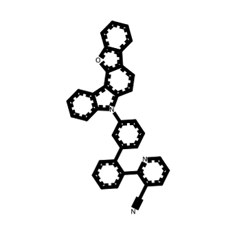 N#Cc1cccnc1-c1ccccc1-c1cccc(-n2c3ccccc3c3c4oc5ccccc5c4ccc32)c1